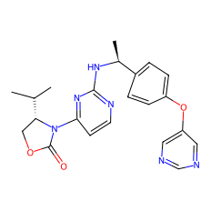 CC(C)[C@H]1COC(=O)N1c1ccnc(N[C@@H](C)c2ccc(Oc3cncnc3)cc2)n1